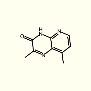 Cc1nc2c(C)ccnc2[nH]c1=O